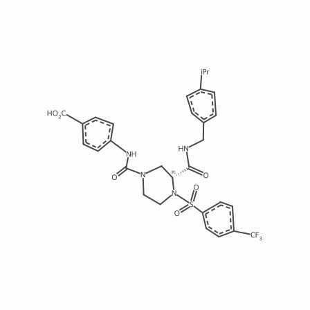 CC(C)c1ccc(CNC(=O)[C@H]2CN(C(=O)Nc3ccc(C(=O)O)cc3)CCN2S(=O)(=O)c2ccc(C(F)(F)F)cc2)cc1